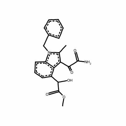 COC(=O)C(O)c1cccc2c1c(C(=O)C(N)=O)c(C)n2Cc1ccccc1